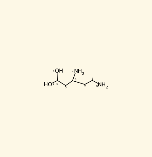 NCCC(N)CC(O)O